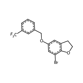 FC(F)(F)c1cccc(COc2cc(Br)c3c(c2)CCO3)c1